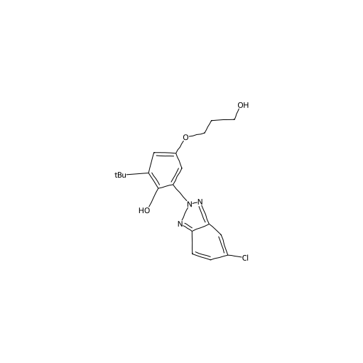 CC(C)(C)c1cc(OCCCO)cc(-n2nc3ccc(Cl)cc3n2)c1O